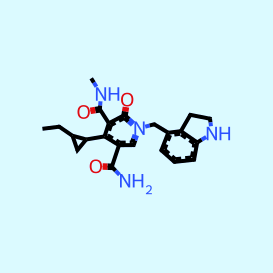 CCC1CC1c1c(C(N)=O)cn(Cc2cccc3c2CCN3)c(=O)c1C(=O)NC